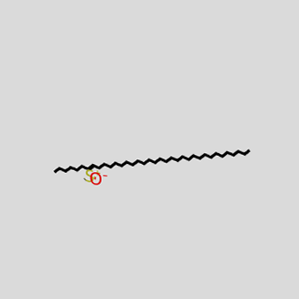 CCCCCCCCCCCCCCCCCCCCCCCCCCCCC=C(CCCCCC)[S+](C)[O-]